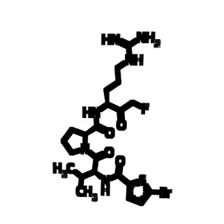 CC(C)[C@H](NC(=O)c1ccc(Br)s1)C(=O)N1CCC[C@H]1C(=O)N[C@@H](CCCNC(=N)N)C(=O)CF